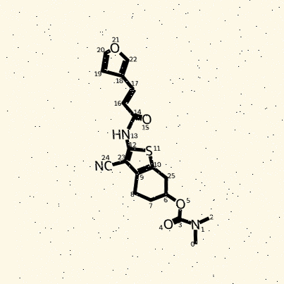 CN(C)C(=O)OC1CCc2c(sc(NC(=O)C=Cc3ccoc3)c2C#N)C1